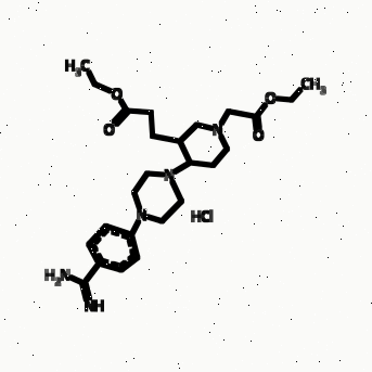 CCOC(=O)CCC1CN(CC(=O)OCC)CCC1N1CCN(c2ccc(C(=N)N)cc2)CC1.Cl